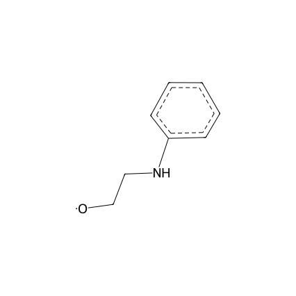 [O]CCNc1ccccc1